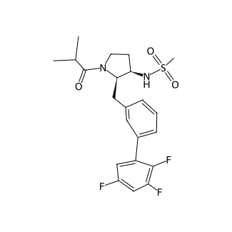 CC(C)C(=O)N1CC[C@@H](NS(C)(=O)=O)[C@H]1Cc1cccc(-c2cc(F)cc(F)c2F)c1